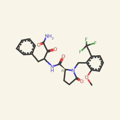 COc1cccc(C(F)(F)F)c1CN1C(=O)CC[C@H]1C(=O)NC(Cc1ccccc1)C(=O)C(N)=O